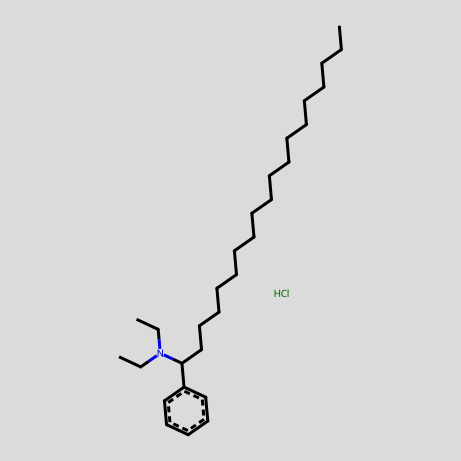 CCCCCCCCCCCCCCCCCCC(c1ccccc1)N(CC)CC.Cl